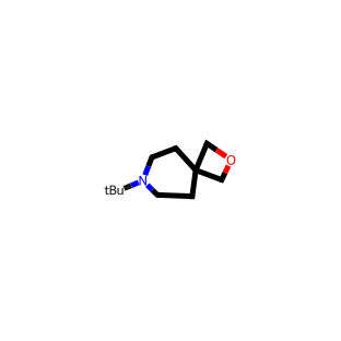 CC(C)(C)N1CCC2(CC1)COC2